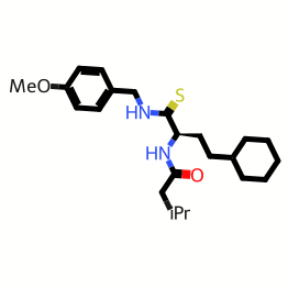 COc1ccc(CNC(=S)[C@@H](CCC2CCCCC2)NC(=O)CC(C)C)cc1